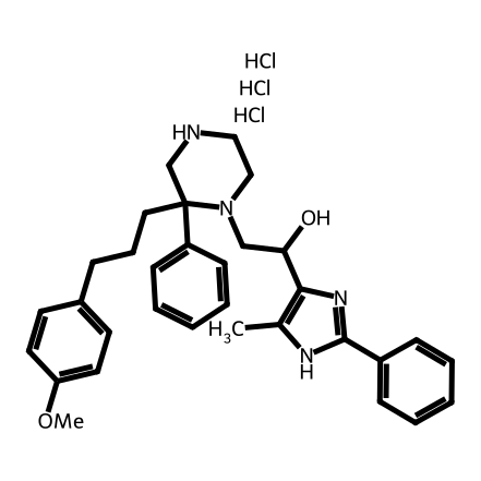 COc1ccc(CCCC2(c3ccccc3)CNCCN2CC(O)c2nc(-c3ccccc3)[nH]c2C)cc1.Cl.Cl.Cl